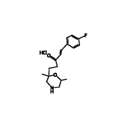 CC1CNCC(C)(CCC(=O)C=Cc2ccc(F)cc2)O1.Cl